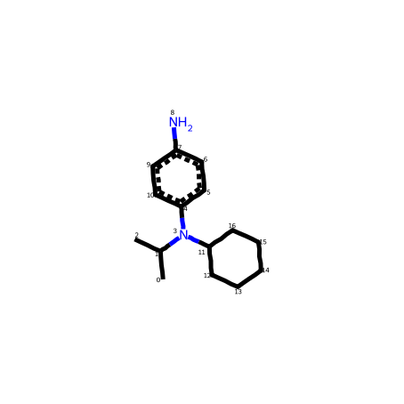 CC(C)N(c1ccc(N)cc1)C1CCCCC1